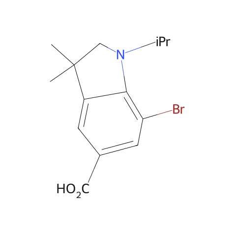 CC(C)N1CC(C)(C)c2cc(C(=O)O)cc(Br)c21